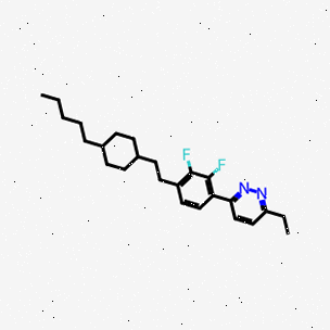 CCCCCC1CCC(CCc2ccc(-c3ccc(CC)nn3)c(F)c2F)CC1